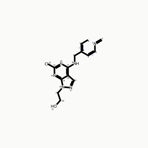 C=N/C=C\C(=C/C)CNc1nc(Cl)nc2c1cnn2CCO